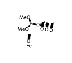 COP(OC)OC.[C]=O.[C]=O.[C]=O.[C]=O.[Fe]